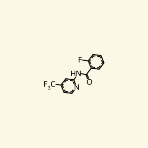 O=C(Nc1cc(C(F)(F)F)ccn1)c1ccccc1F